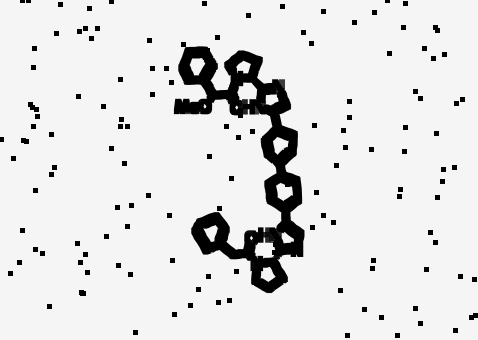 CO[C@H](C(=O)N1CCC[C@H]1c1ncc(-c2ccc(-c3ccc(-c4cnc([C@@H]5CCCN5C(=O)Cc5ccccc5)[nH]4)cc3)cc2)[nH]1)c1ccccc1